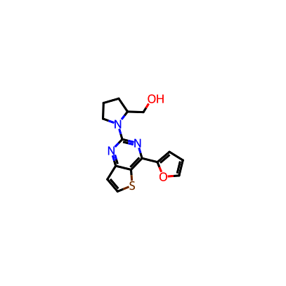 OCC1CCCN1c1nc(-c2ccco2)c2sccc2n1